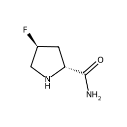 NC(=O)[C@H]1C[C@H](F)CN1